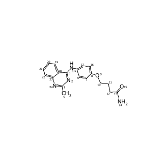 Cc1nc(Nc2ccc(OCCCC(N)=O)cc2)c2ccccc2n1